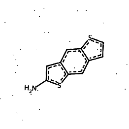 Nc1cc2cc3sccc3cc2s1